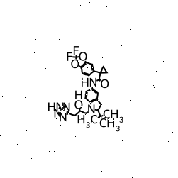 CC(C)(C)C1Cc2cc(NC(=O)C3(c4ccc5c(c4)OC(F)(F)O5)CC3)ccc2N1CC(O)Cc1nn[nH]n1